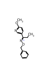 CC/C(=N\OCc1ccccc1)c1ccc(OC)nc1